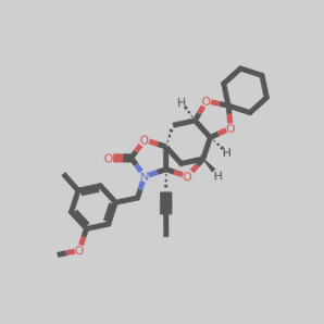 CC#C[C@@]12O[C@@H]3C[C@]1(C[C@H]1OC4(CCCCC4)O[C@H]13)OC(=O)N2Cc1cc(C)cc(OC)c1